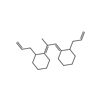 C=CCC1CCCCC1=CC(C)=C1CCCCC1CC=C